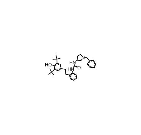 CC(C)(C)c1cc(CCc2ccccc2NC(=O)NC2CCN(Cc3ccccc3)C2)cc(C(C)(C)C)c1O